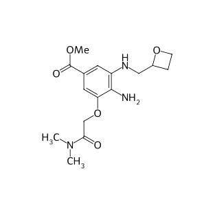 COC(=O)c1cc(NCC2CCO2)c(N)c(OCC(=O)N(C)C)c1